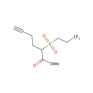 C#CCCC(C(=O)OC)S(=O)(=O)CCC(F)(F)F